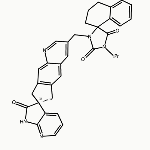 CC(C)N1C(=O)N(Cc2cnc3cc4c(cc3c2)C[C@@]2(C4)C(=O)Nc3ncccc32)C2(CCCc3ccccc32)C1=O